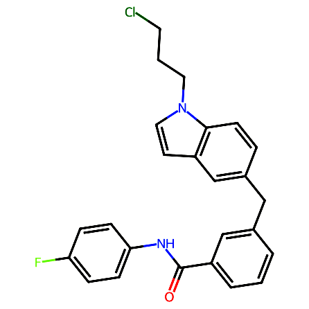 O=C(Nc1ccc(F)cc1)c1cccc(Cc2ccc3c(ccn3CCCCl)c2)c1